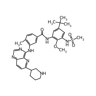 COc1c(NC(=O)c2ccc(C)c(Nc3ncnc4ccc(C5CCCNC5)nc34)c2)cc(C(C)(C)C)cc1NS(C)(=O)=O